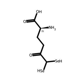 N[C@@H](CCC(=O)C([SeH])[SeH])C(=O)O